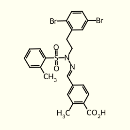 Cc1cc(C=NN(CCc2cc(Br)ccc2Br)S(=O)(=O)c2ccccc2C)ccc1C(=O)O